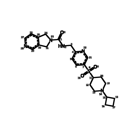 O=C(NCc1ccc(S(=O)(=O)C2CCN(C3CCC3)CC2)cn1)N1Cc2ccncc2C1